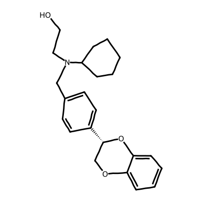 OCCN(Cc1ccc([C@H]2COc3ccccc3O2)cc1)C1CCCCC1